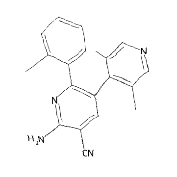 Cc1ccccc1-c1nc(N)c(C#N)cc1-c1c(C)cncc1C